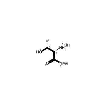 CNC(=O)[C@@H](N)[C@@H](C)O.Cl